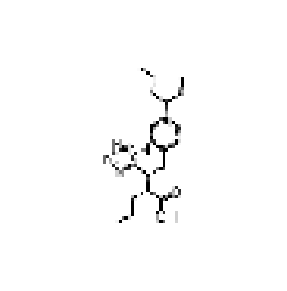 CCCC(CC)c1ccc(C[C@H](c2nnn[nH]2)[C@H](CCC)C(=O)O)cc1